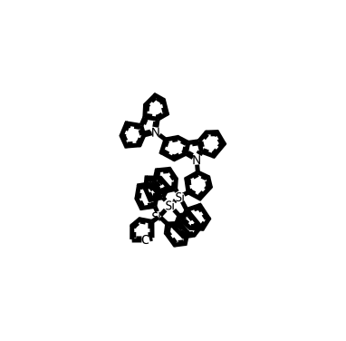 c1ccc([Si](c2ccccc2)(c2ccccc2)[Si](c2ccccc2)(c2ccccc2)[Si](c2ccccc2)(c2ccccc2)c2cccc(-n3c4ccccc4c4cc(-n5c6ccccc6c6ccccc65)ccc43)c2)cc1